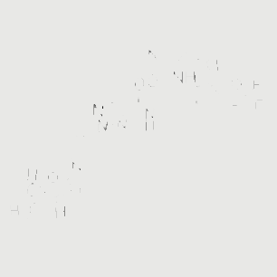 CC(C)(C)OC(=O)N1CCC(n2ncc(C(=O)N[C@@H](Cc3ccc(OC(F)(F)F)c(Cl)c3)C(=O)NC3(C#N)CC3)n2)CC1